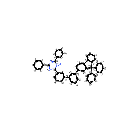 c1ccc(C2=NC(c3cccc(-c4cccc(-c5ccc6c(c5)C(c5ccccc5)(c5ccccc5)c5ccccc5-6)c4)c3)NC(c3ccccc3)=N2)cc1